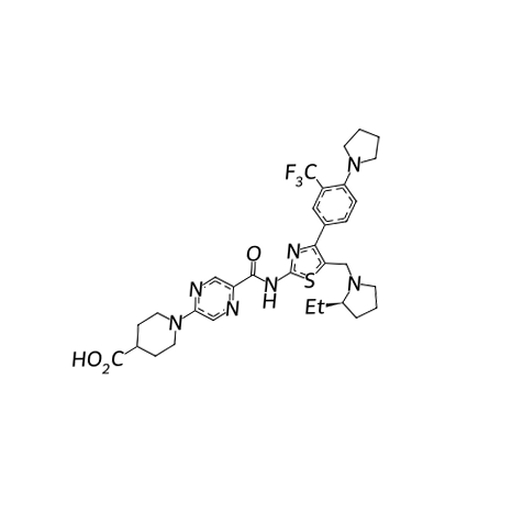 CC[C@@H]1CCCN1Cc1sc(NC(=O)c2cnc(N3CCC(C(=O)O)CC3)cn2)nc1-c1ccc(N2CCCC2)c(C(F)(F)F)c1